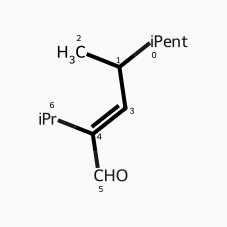 CCCC(C)C(C)/C=C(/C=O)C(C)C